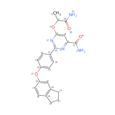 CC(Oc1cc(C(N)=O)nc(-c2ccc(Oc3ccc4c(c3)CCC4)cc2)n1)C(N)=O